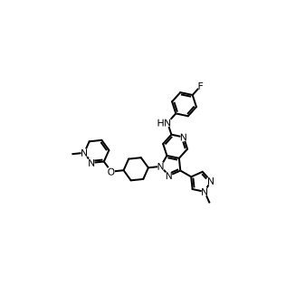 CN1CC=CC(OC2CCC(n3nc(-c4cnn(C)c4)c4cnc(Nc5ccc(F)cc5)cc43)CC2)=N1